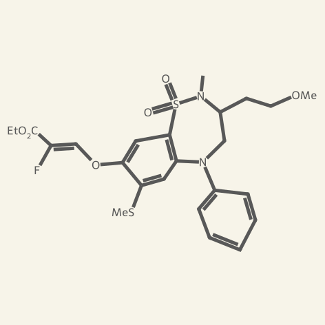 CCOC(=O)/C(F)=C/Oc1cc2c(cc1SC)N(c1ccccc1)CC(CCOC)N(C)S2(=O)=O